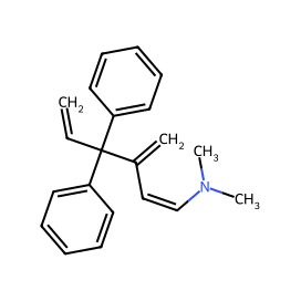 C=CC(C(=C)/C=C\N(C)C)(c1ccccc1)c1ccccc1